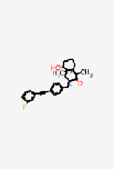 CC1=C2CCC[C@H](O)[C@@]2(C)C/C(=C\c2ccc(C#Cc3cccc(F)c3)cc2)C1=O